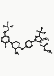 COC(=O)C[C@H]1[C@H](C)C(C(F)(F)F)=NN1c1ccc(OC2CCN(c3cc(OCC(F)(F)F)ccc3F)CC2C)cc1